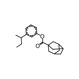 CCC(C)c1cccc(OC(=O)C23CC4CC(C2)C(C4)C3)c1